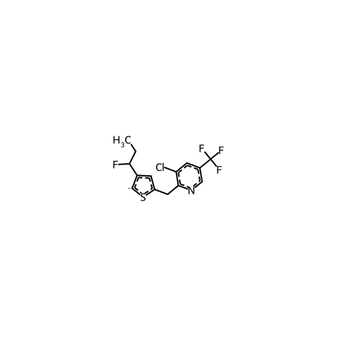 CCC(F)c1[c]sc(Cc2ncc(C(F)(F)F)cc2Cl)c1